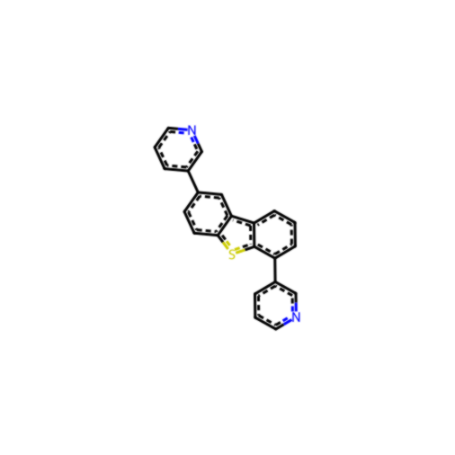 c1cncc(-c2ccc3sc4c(-c5cccnc5)cccc4c3c2)c1